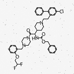 O=C(N[C@@H](C(=O)N1CCN(Cc2ccccc2OCC(F)F)CC1)C1CCN(CCc2cc(Cl)ccc2-c2ccccc2)CC1)OCc1ccccc1